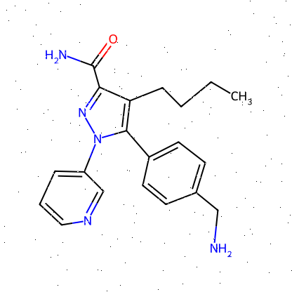 CCCCc1c(C(N)=O)nn(-c2cccnc2)c1-c1ccc(CN)cc1